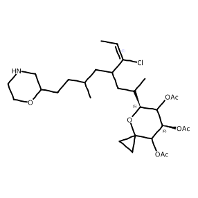 C/C=C(/Cl)C(CC(C)CCC1CNCCO1)CC(C)[C@@H]1OC2(CC2)C(OC(C)=O)[C@H](OC(C)=O)C1OC(C)=O